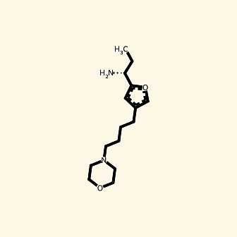 CC[C@@H](N)c1cc(CCCCN2CCOCC2)co1